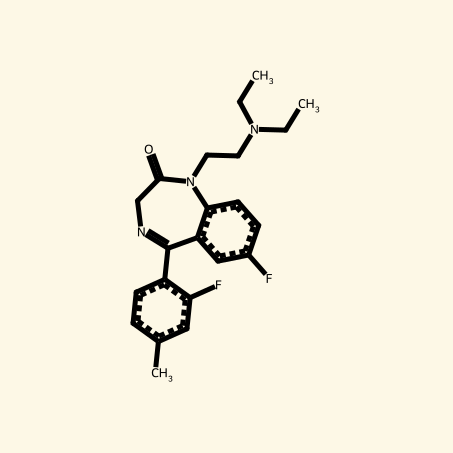 CCN(CC)CCN1C(=O)CN=C(c2ccc(C)cc2F)c2cc(F)ccc21